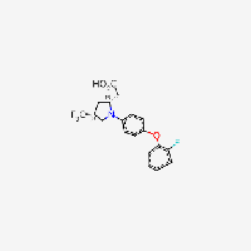 O=C(O)C[C@H]1C[C@H](C(F)(F)F)CN1c1ccc(Oc2ccccc2F)cc1